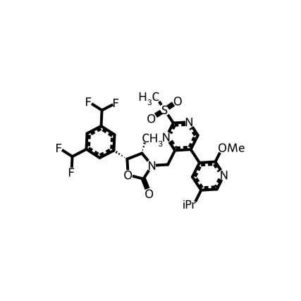 COc1ncc(C(C)C)cc1-c1cnc(S(C)(=O)=O)nc1CN1C(=O)O[C@H](c2cc(C(F)F)cc(C(F)F)c2)[C@@H]1C